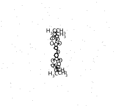 CC(C)(C)OC(=O)N1CCC[C@H]1C(=O)C1C(=O)c2ccc(Oc3ccc4c(c3)C(=O)C(C(=O)[C@@H]3CCCN3C(=O)OC(C)(C)C)C4=O)cc2C1=O